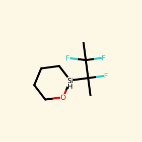 CC(F)(F)C(C)(F)[SiH]1CCCCO1